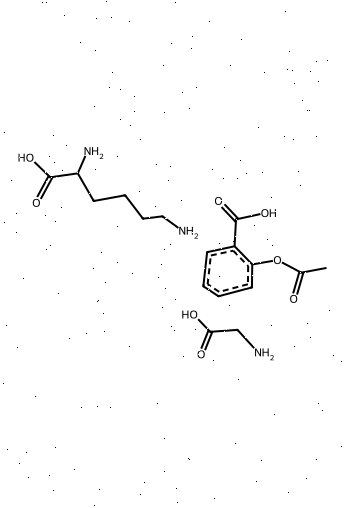 CC(=O)Oc1ccccc1C(=O)O.NCC(=O)O.NCCCCC(N)C(=O)O